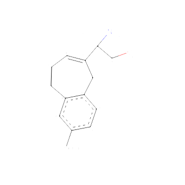 CCCCCCCCc1ccc2c(c1)CCC=C([C@@](C)(N)CO)C2